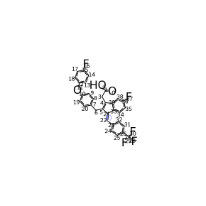 O=C(O)CC1=C(Cc2ccc(Oc3ccc(F)cc3)cc2)/C(=C/c2ccc(C(F)(F)F)cc2)c2ccc(F)cc21